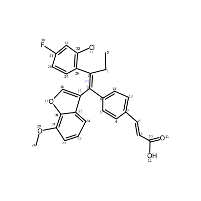 CC/C(=C(\c1ccc(C=CC(=O)O)cc1)c1coc2c(OC)cccc12)c1ccc(F)cc1Cl